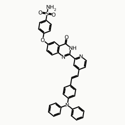 NS(=O)(=O)c1ccc(Oc2ccc3nc(-c4cc(C=Cc5ccc(N(c6ccccc6)c6ccccc6)cc5)ccn4)[nH]c(=O)c3c2)cc1